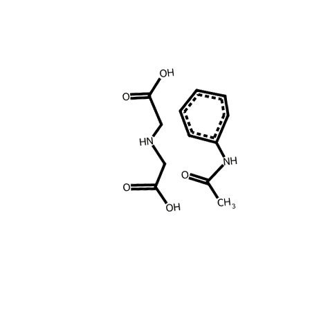 CC(=O)Nc1ccccc1.O=C(O)CNCC(=O)O